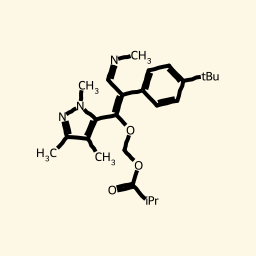 C/N=C\C(=C(\OCOC(=O)C(C)C)c1c(C)c(C)nn1C)c1ccc(C(C)(C)C)cc1